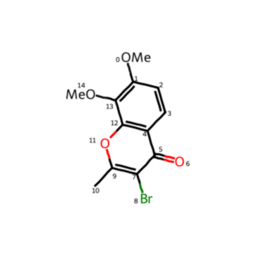 COc1ccc2c(=O)c(Br)c(C)oc2c1OC